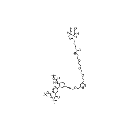 CC(C)(C)OC(=O)Nc1ccc(C#CCOCc2cn(CCOCCOCCOCCNC(=O)CCCC[C@@H]3SC[C@@H]4NC(=O)N[C@@H]43)nn2)cc1C(=O)C[C@H](NC(=O)OC(C)(C)C)C(=O)OC(C)(C)C